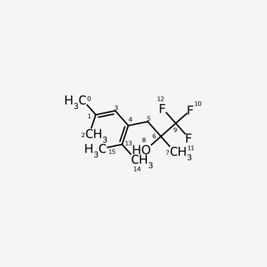 CC(C)=CC(CC(C)(O)C(F)(F)F)=C(C)C